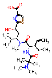 C=C[C@@H](CC)[C@H](NC(=O)C(C)(C)N(C)C)C(=O)N(C)[C@H](C[C@@H](O)c1nc(C(=O)O)cs1)C(C)C